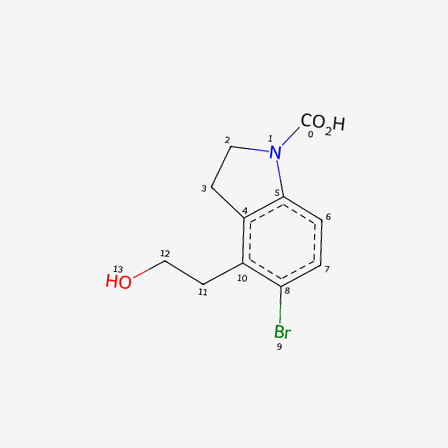 O=C(O)N1CCc2c1ccc(Br)c2CCO